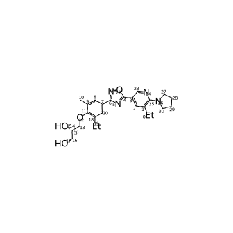 CCc1cc(-c2nc(-c3cc(C)c(OC[C@@H](O)CO)c(CC)c3)no2)cnc1N1CCCC1